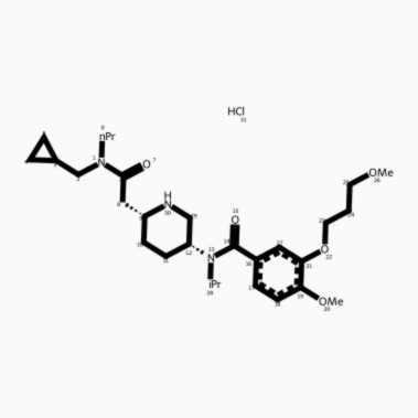 CCCN(CC1CC1)C(=O)C[C@H]1CC[C@@H](N(C(=O)c2ccc(OC)c(OCCCOC)c2)C(C)C)CN1.Cl